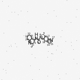 Cc1cc(NC(=O)N2CCc3cc4c(ccn4C)cc32)c2ccccc2n1